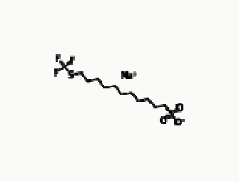 O=S(=O)([O-])CCCCCCCCCCCSC(F)(F)F.[Na+]